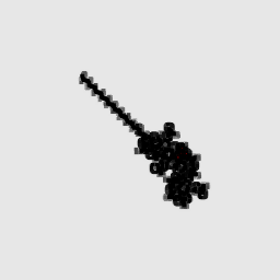 CCCCCCCCCCCCCCCCCCSCCO[C@@H]1O[C@H](COC(C)=O)[C@@H](O[C@H]2O[C@H](COC(C)=O)[C@@H](O[C@H]3O[C@H](CO[C@H]4O[C@H](COC(C)=O)[C@@H](OC(C)=O)[C@H](OC(C)=O)[C@H]4OC(C)=O)[C@@H](OC(C)=O)[C@H](OC(C)=O)[C@H]3OC(C)=O)[C@H](OC(C)=O)[C@H]2OC(C)=O)[C@H](OC(C)=O)[C@H]1OC(C)=O